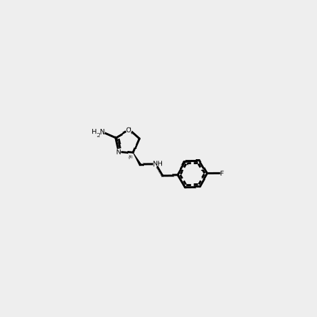 NC1=N[C@H](CNCc2ccc(F)cc2)CO1